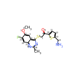 COc1cc2c(SCC(=O)c3ccc(CN)s3)nc(C)nc2cc1F